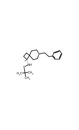 CC(C)(C)SN[C@@H]1CCC12CCN(CCc1ccccc1)CC2